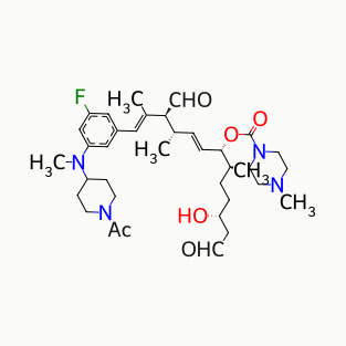 CC(=O)N1CCC(N(C)c2cc(F)cc(/C=C(\C)[C@@H](C=O)[C@@H](C)/C=C/[C@H](OC(=O)N3CCN(C)CC3)[C@@H](C)CC[C@@H](O)CC=O)c2)CC1